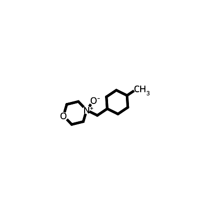 CC1CCC(C[N+]2([O-])CCOCC2)CC1